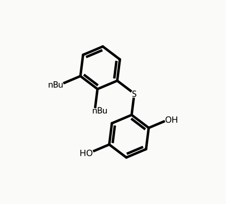 CCCCc1cccc(Sc2cc(O)ccc2O)c1CCCC